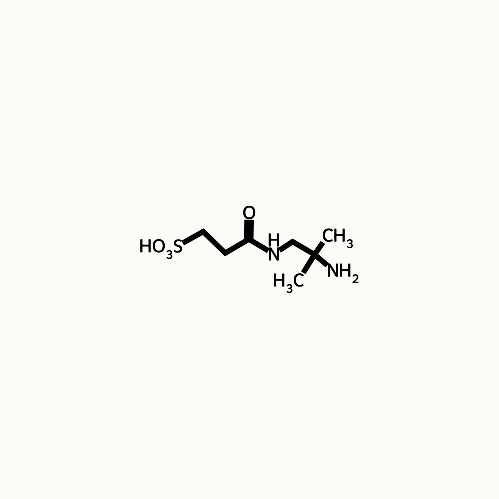 CC(C)(N)CNC(=O)CCS(=O)(=O)O